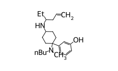 C=CCC(CC)NC1CCC(c2cccc(O)c2)(N(C)CCCC)CC1